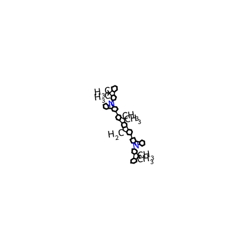 C=C1c2cc(-c3ccc4c(c3)c3ccccc3n4-c3ccc4c(c3)C(C)(C)c3ccccc3-4)ccc2-c2cc3c(cc21)-c1ccc(-c2ccc4c(c2)c2ccccc2n4-c2ccc4c(c2)C(C)(C)c2ccccc2-4)cc1C3(C)C